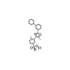 CCOS(=O)(=O)c1ccc(C)c(-c2nc(-c3cccc(-c4ccccc4)c3)oc2C)c1